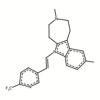 Cc1ccc2c(c1)c1c(n2/C=C/c2ccc(C(F)(F)F)nc2)CCN(C)CC1